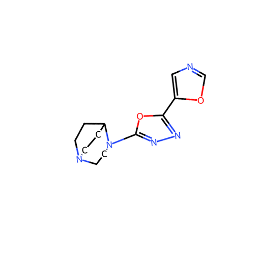 c1ncc(-c2nnc(N3CCN4CCC3CC4)o2)o1